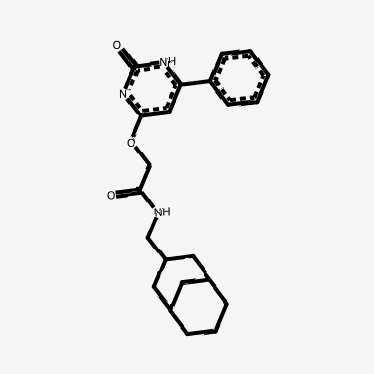 O=C(COc1cc(-c2ccccc2)[nH]c(=O)n1)NCC1CC2CCCC(C2)C1